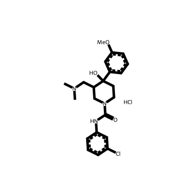 COc1cccc(C2(O)CCN(C(=O)Nc3cccc(Cl)c3)CC2CN(C)C)c1.Cl